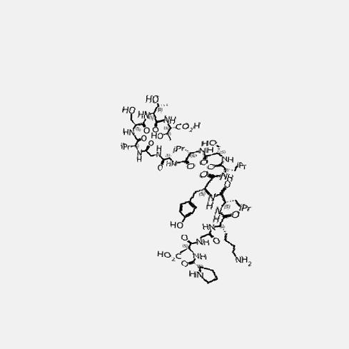 CC(C)C[C@H](NC(=O)[C@H](CCCCN)NC(=O)CNC(=O)[C@H](CC(=O)O)NC(=O)[C@@H]1CCCN1)C(=O)N[C@@H](Cc1ccc(O)cc1)C(=O)N[C@@H](CC(C)C)C(=O)N[C@@H](CO)C(=O)N[C@H](C(=O)N[C@@H](C)C(=O)NCC(=O)N[C@H](C(=O)N[C@@H](CO)C(=O)N[C@H](C(=O)N[C@H](C(=O)O)[C@@H](C)O)[C@@H](C)O)C(C)C)C(C)C